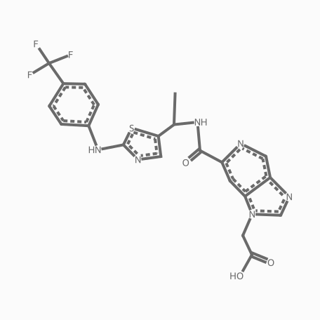 CC(NC(=O)c1cc2c(cn1)ncn2CC(=O)O)c1cnc(Nc2ccc(C(F)(F)F)cc2)s1